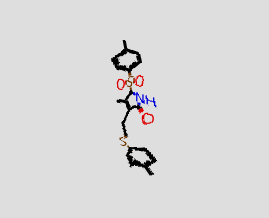 CC1=C(CCSc2ccc(C)cc2)C(=O)NC1S(=O)(=O)c1ccc(C)cc1